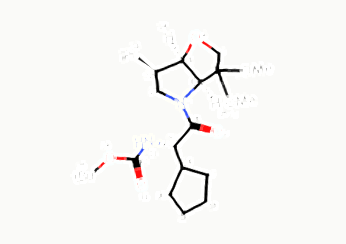 COC1(OC)CO[C@H]2[C@@H]1N(C(=O)[C@@H](NC(=O)OC(C)(C)C)C1CCCC1)C[C@H]2C(C)C